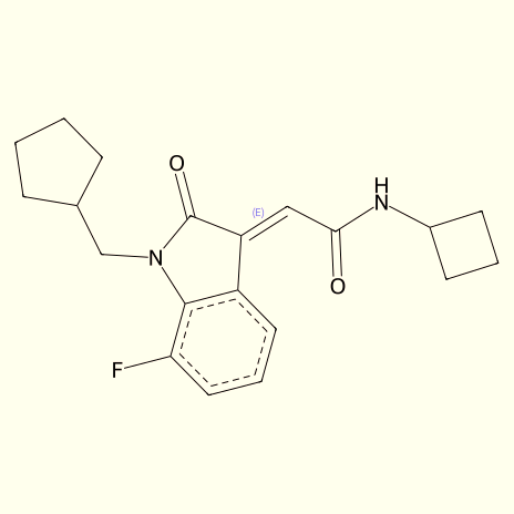 O=C(/C=C1/C(=O)N(CC2CCCC2)c2c(F)cccc21)NC1CCC1